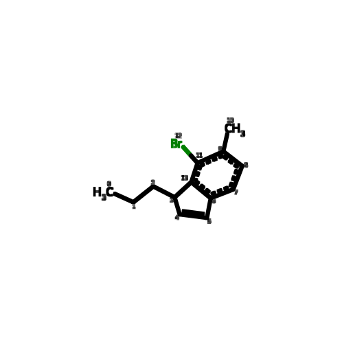 CCCC1C=Cc2ccc(C)c(Br)c21